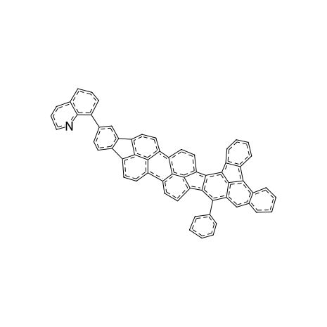 c1ccc(-c2c3cc4ccccc4c4c5ccccc5c(c5c6ccc7c8ccc9c%10c(ccc(c%11ccc(c25)c6c%117)c%108)-c2ccc(-c5cccc6cccnc56)cc2-9)c34)cc1